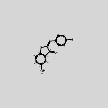 O=C1C(=Cc2ccc(Br)cc2)Cc2ccc(O)cc21